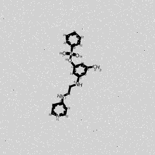 Cc1cc(NCCNc2ccncc2)cc(OS(=O)(=O)c2ccccc2)c1